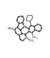 Cc1c2ccccc2c(C2CCCC2)c2c1c1c3c(cc[n+]1C)cc(C(C)(C)C)c1c4ccccc4n2c13